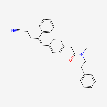 CN(CCc1ccccc1)C(=O)Cc1ccc(C=C(CCC#N)c2ccccc2)cc1